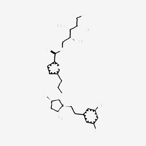 O=C(OC[C@H](O)[C@H](O)[C@@H](O)CO)c1ccc(CCC[C@@H]2[C@@H](CCc3cc(Cl)cc(Cl)c3)[C@H](O)C[C@H]2Cl)s1